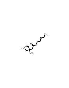 CCOCCOC(=O)CC(C)(CC)CC